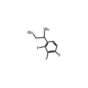 CC(C)(C)CC(c1ccc(F)c(F)c1F)C(C)(C)C